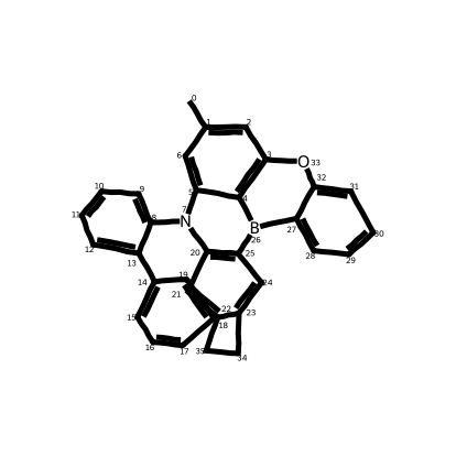 Cc1cc2c3c(c1)N(c1ccccc1-c1ccccc1)c1cc4c(cc1B3c1ccccc1O2)CC4